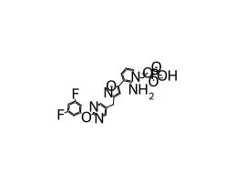 Nc1c(-c2cc(Cc3cnc(Oc4cc(F)cc(F)c4)nc3)no2)ccc[n+]1COP(=O)([O-])O